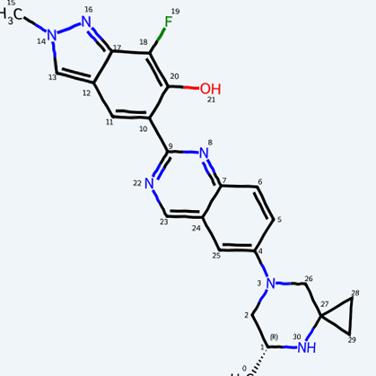 C[C@@H]1CN(c2ccc3nc(-c4cc5cn(C)nc5c(F)c4O)ncc3c2)CC2(CC2)N1